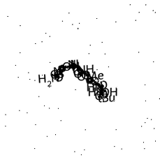 COC(=O)C(COCc1cccc(OCCNC(=O)[C@H](CO)NC(=O)OC(C)(C)C)c1)NC(=O)Cn1cc(COc2ccc3nc(S(N)(=O)=O)sc3c2)nn1